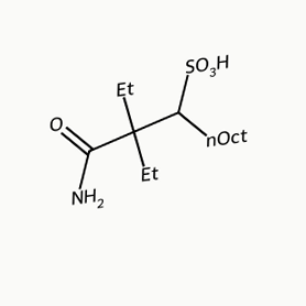 CCCCCCCCC(C(CC)(CC)C(N)=O)S(=O)(=O)O